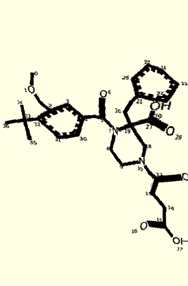 COc1cc(C(=O)N2CCN(C(=O)CCC(=O)O)CC2(Cc2ccccc2)C(=O)O)ccc1C(C)(C)C